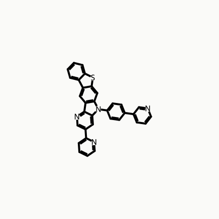 c1ccc(-c2cnc3c4cc5c(cc4n(-c4ccc(-c6cccnc6)cc4)c3c2)sc2ccccc25)nc1